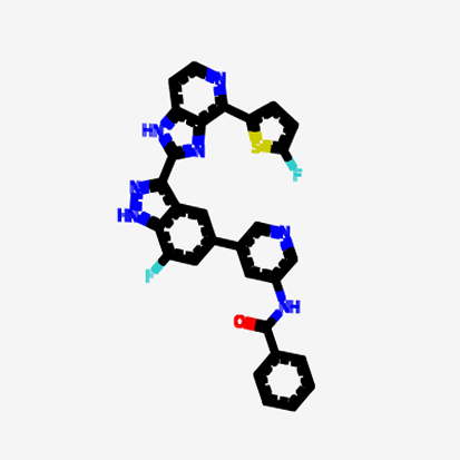 O=C(Nc1cncc(-c2cc(F)c3[nH]nc(-c4nc5c(-c6ccc(F)s6)nccc5[nH]4)c3c2)c1)c1ccccc1